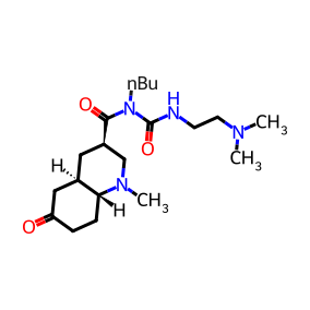 CCCCN(C(=O)NCCN(C)C)C(=O)[C@@H]1C[C@@H]2CC(=O)CC[C@H]2N(C)C1